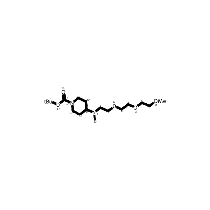 COCCOCCOCCN(C)C1CCN(C(=O)OC(C)(C)C)CC1